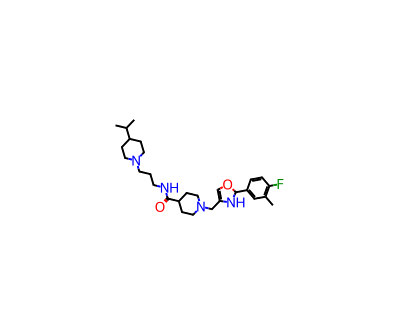 Cc1cc(C2NC(CN3CCC(C(=O)NCCCN4CCC(C(C)C)CC4)CC3)=CO2)ccc1F